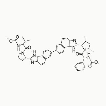 COC(=O)N[C@H](C(=O)N1CCC[C@H]1c1nc2ccc3cc(-c4ccc5c(ccc6nc([C@@H]7[C@H](C)C[C@H](C)N7C(=O)[C@H](NC(=O)OC)c7ccccc7)[nH]c65)c4)ccc3c2[nH]1)C(C)C